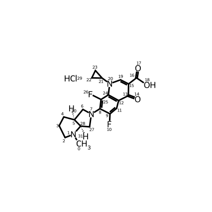 CN1CCC[C@H]2CN(c3c(F)cc4c(=O)c(C(=O)O)cn(C5CC5)c4c3F)C[C@H]21.Cl